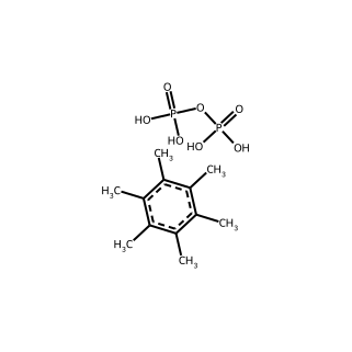 Cc1c(C)c(C)c(C)c(C)c1C.O=P(O)(O)OP(=O)(O)O